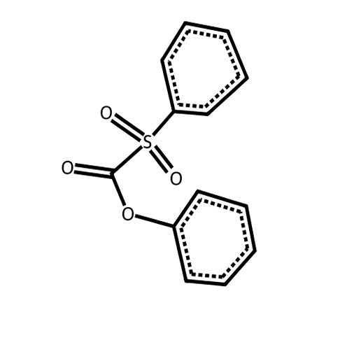 O=C(Oc1ccccc1)S(=O)(=O)c1ccccc1